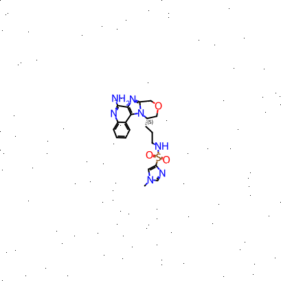 Cn1cnc(S(=O)(=O)NCCC[C@H]2COCc3nc4c(N)nc5ccccc5c4n32)c1